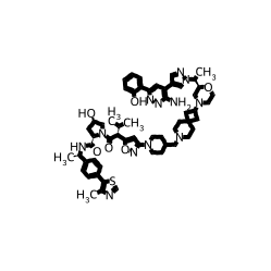 Cc1ncsc1-c1ccc([C@H](C)NC(=O)[C@@H]2C[C@@H](O)CN2C(=O)[C@@H](c2cc(N3CCC(CN4CCC5(CC4)CC(N4CCO[C@H](C(C)n6cc(-c7cc(-c8ccccc8O)nnc7N)cn6)C4)C5)CC3)no2)C(C)C)cc1